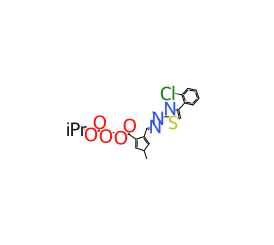 CC1C=C(/C=N/N(C)c2nc(-c3ccccc3Cl)cs2)C(C(=O)OCOC(=O)OC(C)C)=C1